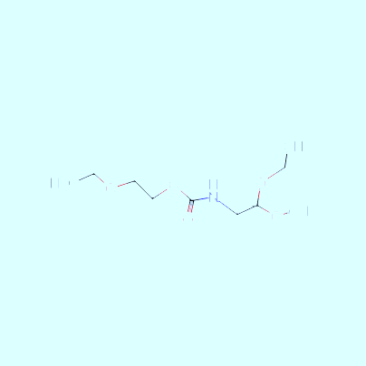 CCOCCOC(=O)NC[C](OC)OCC